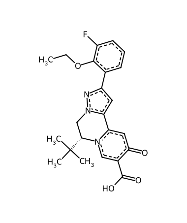 CCOc1c(F)cccc1-c1cc2n(n1)C[C@@H](C(C)(C)C)n1cc(C(=O)O)c(=O)cc1-2